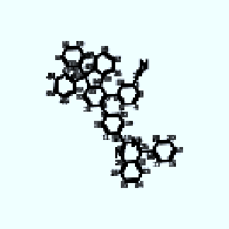 N#Cc1cccc(-c2c(-c3ccc(-c4nc(-c5ccccc5)c5ccccc5n4)cc3)ccc3c2-c2ccccc2C3(c2ccccc2)c2ccccc2)c1